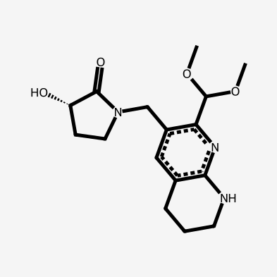 COC(OC)c1nc2c(cc1CN1CC[C@H](O)C1=O)CCCN2